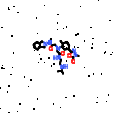 Cc1ccc(-c2nn(C)c(=O)o2)cc1N(CC(=O)NCCNC(C)C)CC(=O)N(C)N1Cc2ccccc2C1